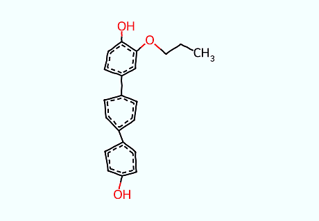 CCCOc1cc(-c2ccc(-c3ccc(O)cc3)cc2)ccc1O